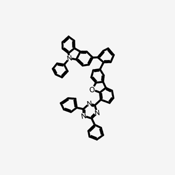 c1ccc(-c2nc(-c3ccccc3)nc(-c3cccc4c3oc3ccc(-c5ccccc5-c5ccc6c(c5)c5ccccc5n6-c5ccccc5)cc34)n2)cc1